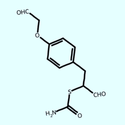 NC(=O)SC(C=O)Cc1ccc(OCC=O)cc1